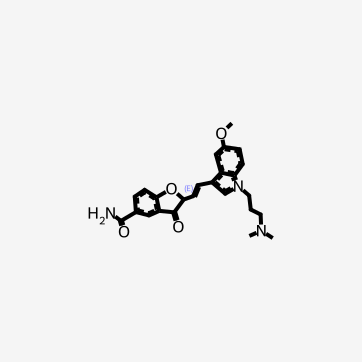 COc1ccc2c(c1)c(/C=C/C1Oc3ccc(C(N)=O)cc3C1=O)cn2CCCN(C)C